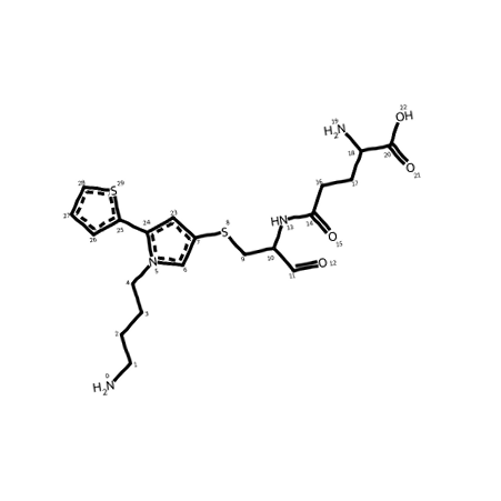 NCCCCn1cc(SCC(C=O)NC(=O)CCC(N)C(=O)O)cc1-c1cccs1